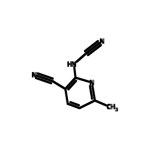 Cc1ccc(C#N)c(NC#N)n1